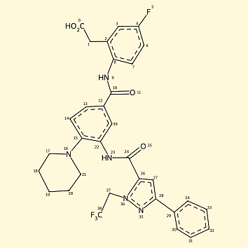 O=C(O)Cc1cc(F)ccc1NC(=O)c1ccc(N2CCCCC2)c(NC(=O)c2cc(-c3ccccc3)nn2CC(F)(F)F)c1